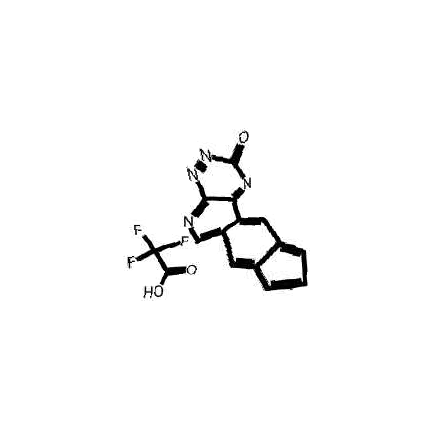 O=C(O)C(F)(F)F.O=C1N=Nc2ncc3cc4c(cc3c2=N1)=CC=C4